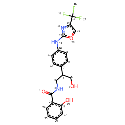 O=C(NCC(CO)c1ccc(Nc2nc(C(F)(F)F)co2)cc1)c1ccccc1O